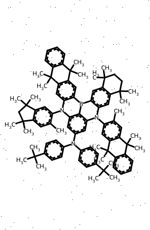 Cc1cc2c(cc1N1c3cc4c(cc3B3c5cc6c(cc5N(c5cc7c(cc5C)C(C)(C)c5ccccc5C7(C)C)c5cc(N(c7ccc(C(C)(C)C)cc7)c7ccc(C(C)(C)C)cc7)cc1c53)C(C)(C)CCC6(C)C)C(C)(C)c1ccccc1C4(C)C)C(C)(C)CC2(C)C